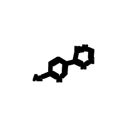 CC(=O)c1ccc(-c2nncnn2)cn1